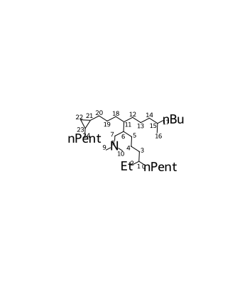 CCCCCC(CC)CCCC(CN(C)C)C(CCCC(C)CCCC)CCCC1CC1CCCCC